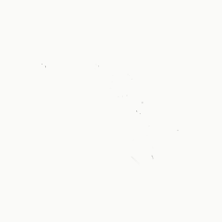 O=C(NC(CO)c1ccccc1)c1ccc2nc(C3CCNCC3)sc2c1